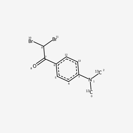 [13CH3]N([13CH3])c1ccc(C(=O)C(Br)Br)cc1